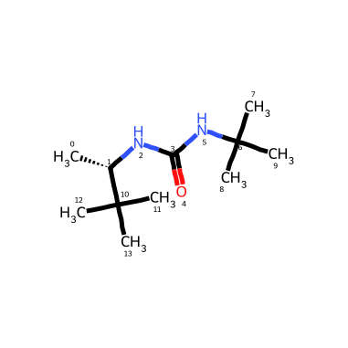 C[C@H](NC(=O)NC(C)(C)C)C(C)(C)C